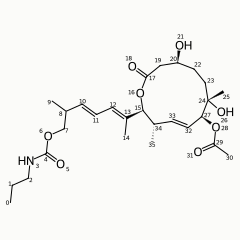 CCCNC(=O)OCC(C)/C=C/C=C(\C)[C@H]1OC(=O)C[C@@H](O)CC[C@](C)(O)[C@@H](OC(C)=O)/C=C/[C@@H]1C